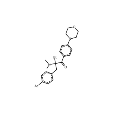 CCC(Cc1ccc(C(C)=O)cc1)(C(=O)c1ccc(N2CCOCC2)cc1)N(C)C